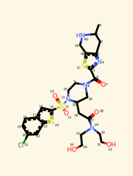 CC1Cc2nc(C(=O)N3CCN(S(=O)(=O)c4cc5ccc(Cl)cc5s4)C(CC(=O)N(CCO)CCO)C3)sc2CN1